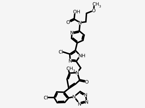 COCCN(C(=O)O)c1ccc(-c2[nH]c(Cn3c(C)cc(-c4cc(Cl)ccc4-n4cnnn4)cc3=O)nc2Cl)cn1